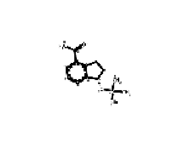 CC(C)(C)[Si](C)(C)O[C@H]1CCc2c(C(=O)C(F)(F)F)cccc21